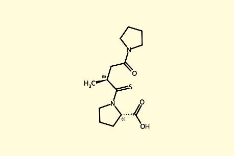 C[C@@H](CC(=O)N1CCCC1)C(=S)N1CCC[C@H]1C(=O)O